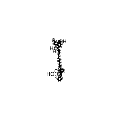 O=C(O)N(Cc1ccccc1)c1cccc(OCCCCCCCCCNC[C@H](O)c2ccc(O)c3[nH]c(=O)ccc23)c1Cl